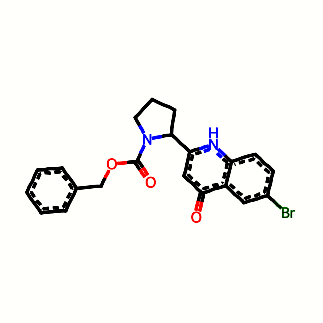 O=C(OCc1ccccc1)N1CCCC1c1cc(=O)c2cc(Br)ccc2[nH]1